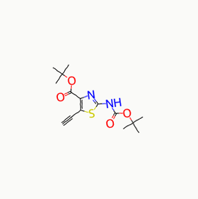 C#Cc1sc(NC(=O)OC(C)(C)C)nc1C(=O)OC(C)(C)C